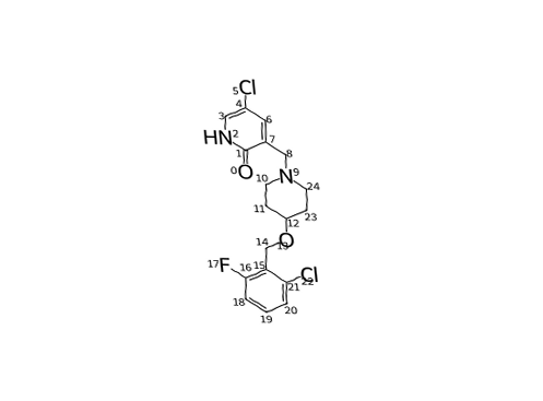 O=c1[nH]cc(Cl)cc1CN1CCC(OCc2c(F)cccc2Cl)CC1